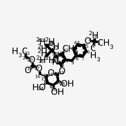 [2H]C(C)(C)Oc1ccc(Cc2c(O[C@@H]3O[C@H](COC(=O)OCC)[C@@H](O)[C@H](O)[C@H]3O)nn(C([2H])(C([2H])([2H])[2H])C([2H])([2H])[2H])c2C)cc1